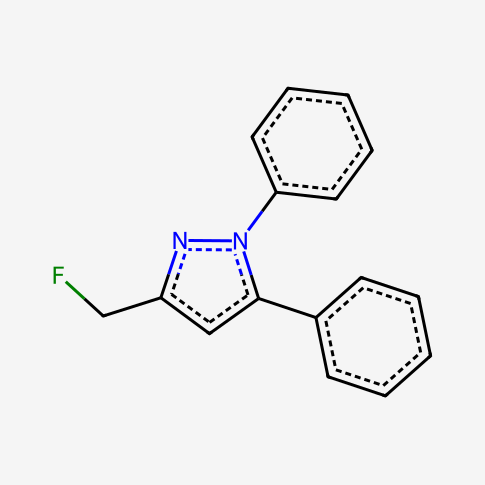 FCc1cc(-c2ccccc2)n(-c2ccccc2)n1